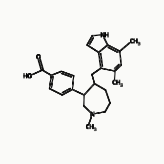 Cc1cc(C)c2[nH]ccc2c1CC1CCCN(C)CC1c1ccc(C(=O)O)cc1